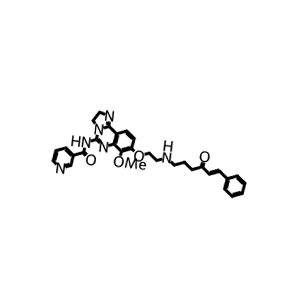 COc1c(OCCNCCCC(=O)/C=C/c2ccccc2)ccc2c1N=C(NC(=O)c1cccnc1)N1CCN=C21